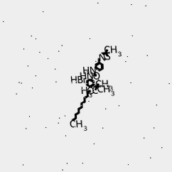 Br.CCCCCCCCCCCCOc1ccc(NC(=O)Nc2cccc(CN3C=C(C)SC3)c2)cc1C(C)(C)C